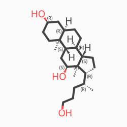 C[C@H](CCCO)[C@H]1CC[C@H]2[C@@H]3CC[C@@H]4C[C@H](O)CC[C@]4(C)[C@H]3C[C@H](O)[C@]12C